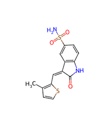 Cc1ccsc1C=C1C(=O)Nc2ccc(S(N)(=O)=O)cc21